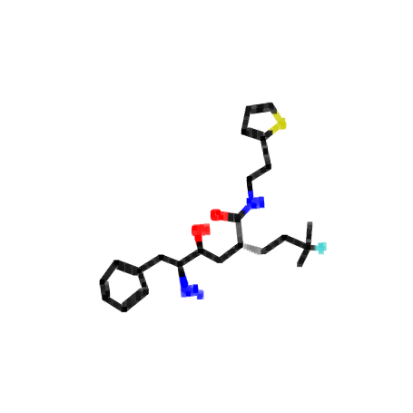 CC(C)(F)CC[C@H](C[C@H](O)[C@@H](N)Cc1ccccc1)C(=O)NCCc1cccs1